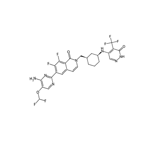 Nc1nc(-c2cc3ccn(C[C@@H]4CCC[C@H](Nc5cn[nH]c(=O)c5C(F)(F)F)C4)c(=O)c3c(F)c2F)ncc1OC(F)F